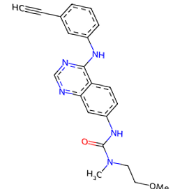 C#Cc1cccc(Nc2ncnc3cc(NC(=O)N(C)CCOC)ccc23)c1